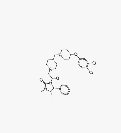 C[C@H]1[C@@H](c2ccccc2)N(C(=O)CN2CCC(CN3CCC(Oc4ccc(Cl)c(Cl)c4)CC3)CC2)C(=O)N1C